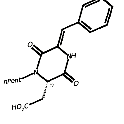 CCCCCN1C(=O)C(=Cc2ccccc2)NC(=O)[C@@H]1CC(=O)O